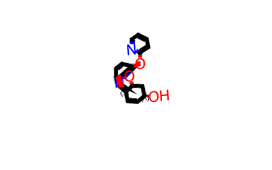 CN1CC[C@@]23C=C[C@H](O)CC2Oc2c(Oc4ccccn4)ccc(c23)C1